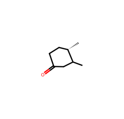 CC1CC(=O)CC[C@@H]1C